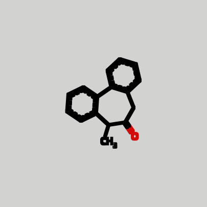 CC1C(=O)Cc2ccccc2-c2ccccc21